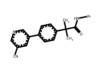 CC(C)NC(=O)C(C)(C)c1ccc(-c2cncc(C#N)c2)cc1